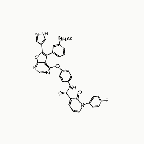 CC(=O)Nc1cccc(-c2c(-c3cn[nH]c3)oc3ncnc(Oc4ccc(NC(=O)c5cccn(-c6ccc(F)cc6)c5=O)cc4)c23)c1